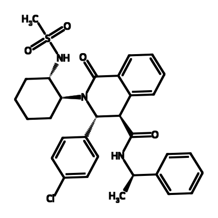 C[C@@H](NC(=O)[C@@H]1c2ccccc2C(=O)N([C@H]2CCCC[C@@H]2NS(C)(=O)=O)[C@H]1c1ccc(Cl)cc1)c1ccccc1